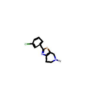 CC(=O)N1CCc2nc(-c3cccc(Cl)c3)sc2C1